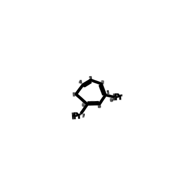 CC(C)C1=CC=CCC(C(C)C)=C1